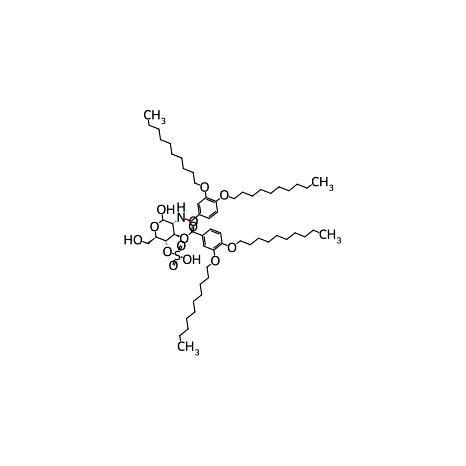 CCCCCCCCCCOc1ccc(C(=O)N[C@H]2C(O)O[C@H](CO)[C@@H](OS(=O)(=O)O)[C@@H]2OC(=O)c2ccc(OCCCCCCCCCC)c(OCCCCCCCCCC)c2)cc1OCCCCCCCCCC